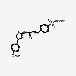 CCCCCS(=O)(=O)c1ccc(/C=C/C(=O)NC2=NC(c3ccc(OC)cc3)CS2)cc1